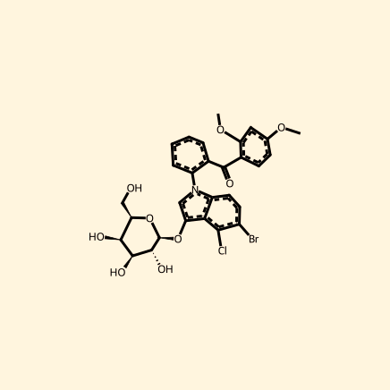 COc1ccc(C(=O)c2ccccc2-n2cc(O[C@@H]3O[C@H](CO)[C@H](O)[C@H](O)[C@H]3O)c3c(Cl)c(Br)ccc32)c(OC)c1